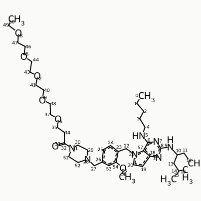 CCCCCNc1nc(NC(CC)CC(C)C)nc2ccn(Cc3ccc(CN4CCN(C(=O)CCOCCOCCOCCOCCOCC)CC4)cc3OC)c12